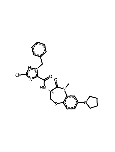 CN1C(=O)[C@@H](NC(=O)c2nc(Cl)nn2Cc2ccccc2)CSc2ccc(N3CCCC3)cc21